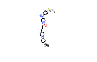 CC(C)(C)c1ccc(N2CCC(CCCC(=O)N3CCC(Nc4ccc(SC(F)(F)F)cc4)CC3)CC2)cc1